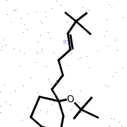 CC(C)(C)/C=C/CCCC1(OC(C)(C)C)CCCCC1